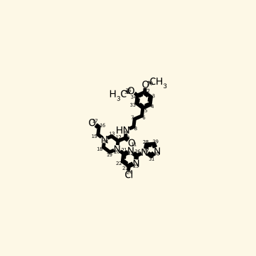 COc1ccc(CCCNC(=O)C2CN(CC=O)CCN2c2cc(Cl)nc(-n3ccnc3)n2)cc1OC